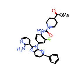 COC(=O)C1CCN(C(=O)Nc2ccc(-n3c(-c4cccnc4N)nc4ccc(-c5ccccc5)nc43)cc2F)CC1